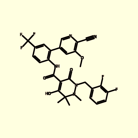 COc1cc(-c2cc(C(F)(F)F)ccc2NC(=O)C2=C(O)C(C)(C)N(C)N(Cc3cccc(F)c3F)C2=O)cnc1C#N